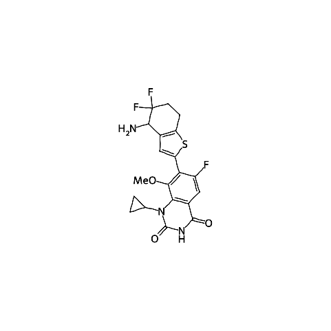 COc1c(-c2cc3c(s2)CCC(F)(F)C3N)c(F)cc2c(=O)[nH]c(=O)n(C3CC3)c12